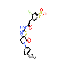 CC(C)(C)c1ccc(N2CCc3nc(NC(=O)Cc4ccc([SH](=O)=O)cc4F)sc3C2=O)cc1